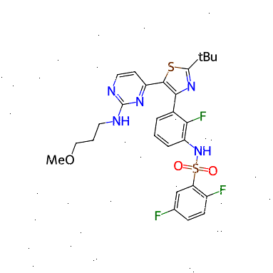 COCCCNc1nccc(-c2sc(C(C)(C)C)nc2-c2cccc(NS(=O)(=O)c3cc(F)ccc3F)c2F)n1